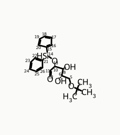 CC(C)(C)OC[C@H](O)[C@H](O)[C@H](C=O)O[SiH](c1ccccc1)c1ccccc1